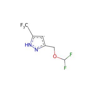 FC(F)OCc1[c]c(C(F)(F)F)[nH]n1